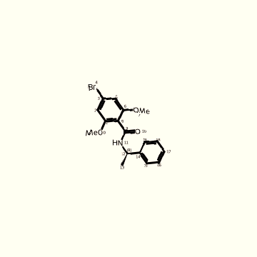 COc1cc(Br)cc(OC)c1C(=O)N[C@H](C)c1ccccc1